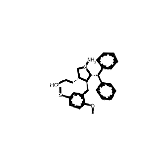 COc1ccc(SC)cc1C[C@H]1[C@H](CCO)CN(N)[C@@H]1C(c1ccccc1)c1ccccc1